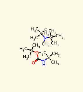 CN([Si](C)(C)C)[Si](C)(C)C.C[Si](C)(C)NC(=O)O[Si](C)(C)C